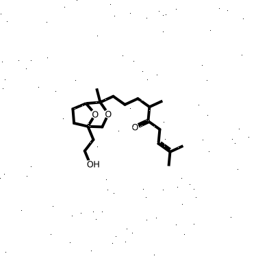 CC(C)=CCC(=O)C(C)CCCC1(C)OCC2(CCO)CCC1O2